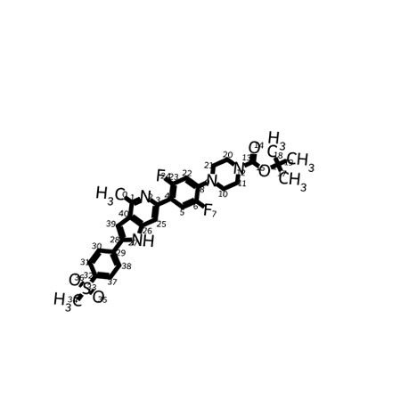 Cc1nc(-c2cc(F)c(N3CCN(C(=O)OC(C)(C)C)CC3)cc2F)cc2[nH]c(-c3ccc(S(C)(=O)=O)cc3)cc12